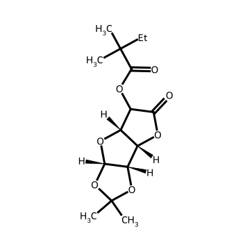 CCC(C)(C)C(=O)OC1C(=O)O[C@@H]2[C@@H]3OC(C)(C)O[C@@H]3O[C@H]12